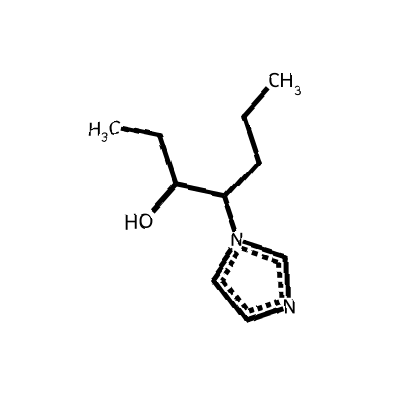 CCCC(C(O)CC)n1ccnc1